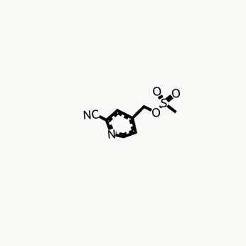 CS(=O)(=O)OCc1ccnc(C#N)c1